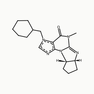 CN1C(=O)c2c(ncn2CC2CCCCC2)N2C1=N[C@@H]1CCC[C@@H]12